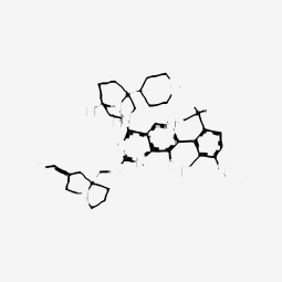 Nc1ccc(C(F)(F)F)c(-c2ncc3c(N4C[C@@H]5CC[C@](C6CCOCC6)(C4)N5)nc(OC[C@@]45CCCN4C/C(=C\F)C5)nc3c2F)c1F